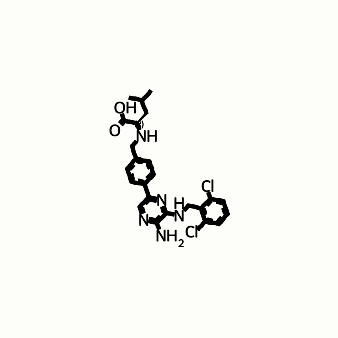 CC(C)C[C@@H](NCc1ccc(-c2cnc(N)c(NCc3c(Cl)cccc3Cl)n2)cc1)C(=O)O